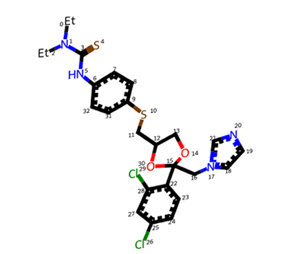 CCN(CC)C(=S)Nc1ccc(SCC2COC(Cn3ccnc3)(c3ccc(Cl)cc3Cl)O2)cc1